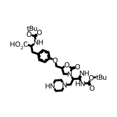 CC(C)(C)OC(=O)NC(=N)C(CN1CCNCC1)N1CC(COc2ccc(CC(NC(=O)OC(C)(C)C)C(=O)O)cc2)OC1=O